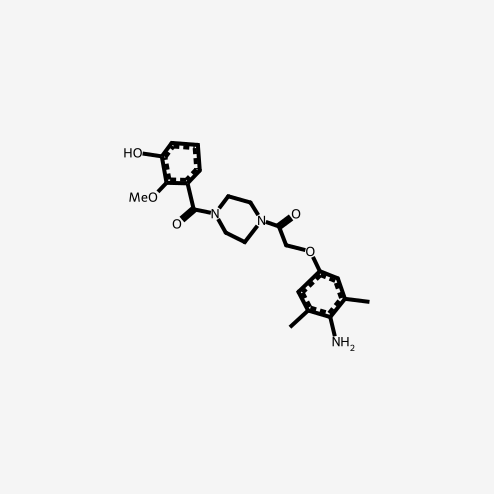 COc1c(O)cccc1C(=O)N1CCN(C(=O)COc2cc(C)c(N)c(C)c2)CC1